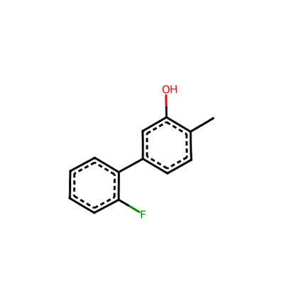 Cc1ccc(-c2ccccc2F)cc1O